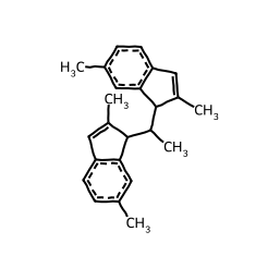 CC1=Cc2ccc(C)cc2C1C(C)C1C(C)=Cc2ccc(C)cc21